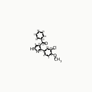 COc1ccc(-c2n[nH]cc2C(=O)c2ccccc2)cc1Cl